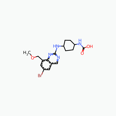 COCc1cc(Br)cc2cnc(NC3CCC(NC(=O)O)CC3)nc12